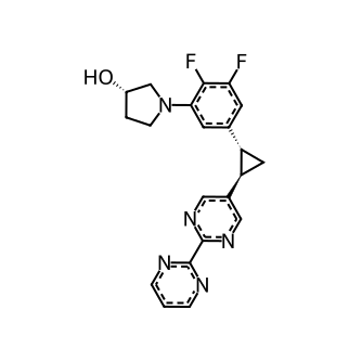 O[C@H]1CCN(c2cc([C@@H]3C[C@H]3c3cnc(-c4ncccn4)nc3)cc(F)c2F)C1